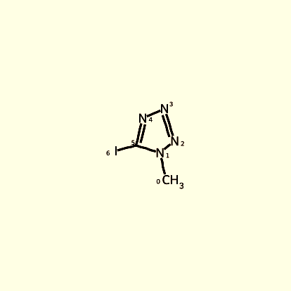 Cn1nnnc1I